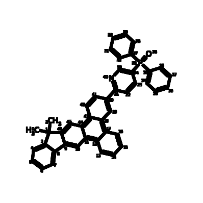 CC1(C)c2ccccc2-c2cc3c4ccccc4c4cc(-c5ccc(P(=O)(c6ccccc6)c6ccccc6)cn5)ccc4c3cc21